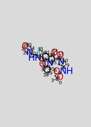 CC(C)(C)OC(=O)NC1CCN(C(=O)c2cn3c4c(c(NCCN5CCOCC5)c(F)cc4c2=O)Oc2ccccc2-3)C1